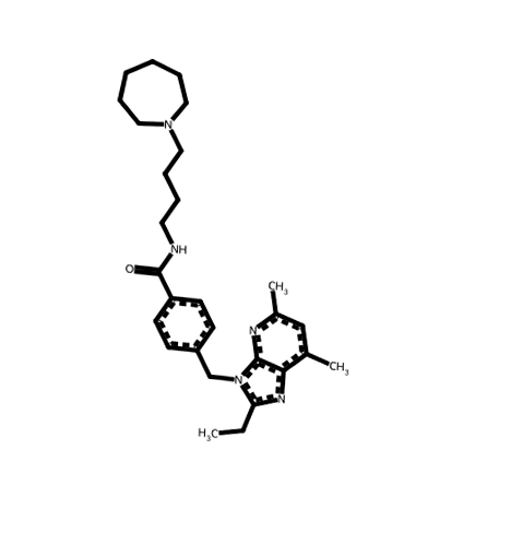 CCc1nc2c(C)cc(C)nc2n1Cc1ccc(C(=O)NCCCCN2CCCCCC2)cc1